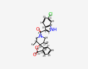 CC1CN(C(=O)c2c[nH]c3cc(Cl)ccc23)CC(C)C12OC(=O)c1ccccc12